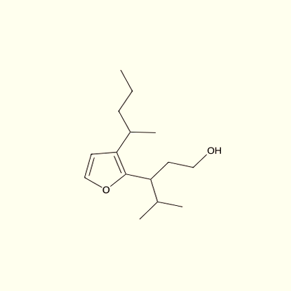 CCCC(C)c1ccoc1C(CCO)C(C)C